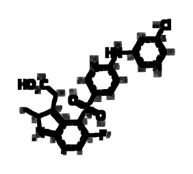 CC1N=c2ccc(F)c(S(=O)(=O)c3ccc(Nc4cncc(Cl)c4)nc3)c2=C1CC(=O)O